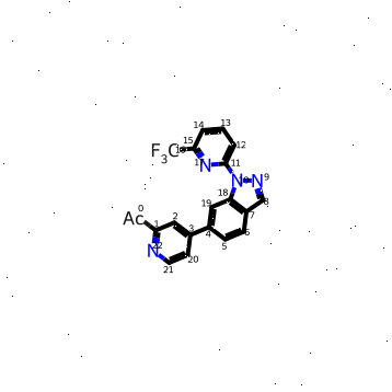 CC(=O)c1cc(-c2ccc3cnn(-c4cccc(C(F)(F)F)n4)c3c2)ccn1